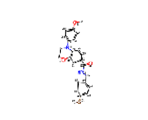 COc1ccc(N2CCOc3cc(C(=O)NCc4ccc(SC)cc4)ccc32)cc1